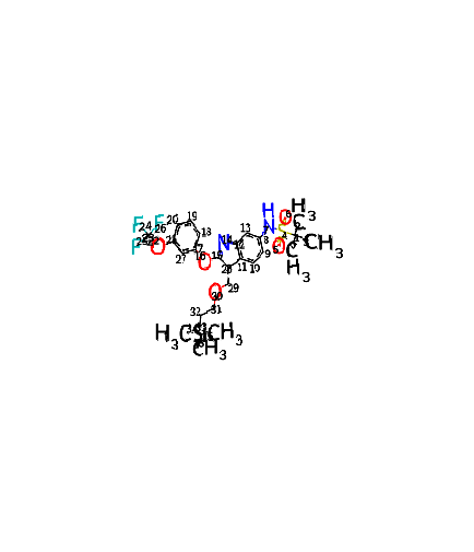 CC(C)(C)S(=O)(=O)Nc1ccc2c(c1)N=C(Oc1cccc(OC(F)(F)F)c1)C2COCC[Si](C)(C)C